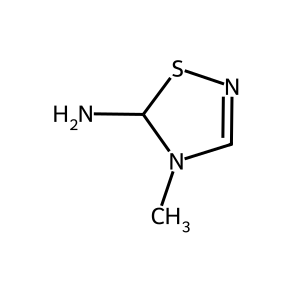 CN1C=NSC1N